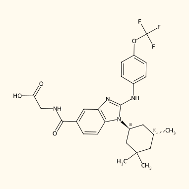 C[C@H]1C[C@H](n2c(Nc3ccc(OC(F)(F)F)cc3)nc3cc(C(=O)NCC(=O)O)ccc32)CC(C)(C)C1